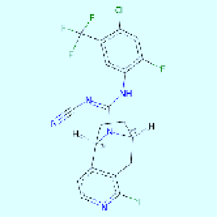 N#CN=C(Nc1cc(C(F)(F)F)c(Cl)cc1F)N1[C@H]2CC[C@@H]1c1ccnc(F)c1C2